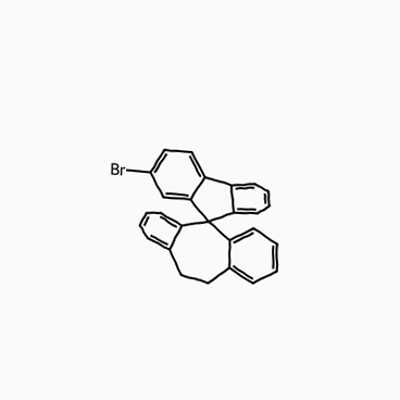 Brc1ccc2c(c1)C1(c3ccccc3CCc3ccccc31)c1ccccc1-2